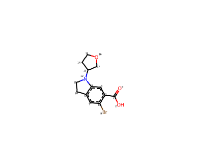 O=C(O)c1cc2c(cc1Br)CCN2C1CCOC1